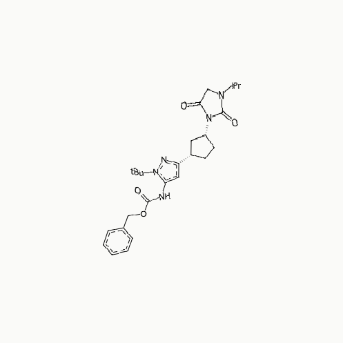 CC(C)N1CC(=O)N([C@@H]2CC[C@H](c3cc(NC(=O)OCc4ccccc4)n(C(C)(C)C)n3)C2)C1=O